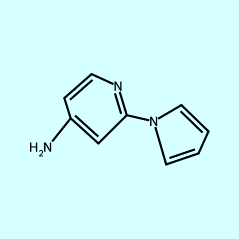 Nc1ccnc(-n2cccc2)c1